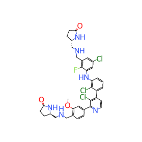 COc1cc(-c2nccc(-c3cccc(Nc4cc(Cl)cc(CNC[C@@H]5CCC(=O)N5)c4F)c3Cl)c2Cl)ccc1CNC[C@H]1CCC(=O)N1